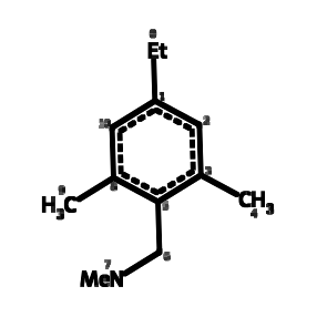 CCc1cc(C)c(CNC)c(C)c1